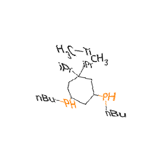 CCCCPC1CC(PCCCC)CC(C(C)C)(C(C)C)C1.[CH3][Ti][CH3]